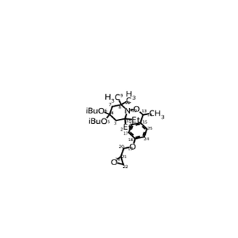 CCC1(CC)CC(OCC(C)C)(OCC(C)C)CC(C)(C)N1OC(C)c1ccc(OCC2CO2)cc1